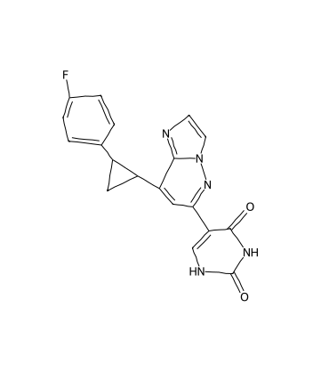 O=c1[nH]cc(-c2cc(C3CC3c3ccc(F)cc3)c3nccn3n2)c(=O)[nH]1